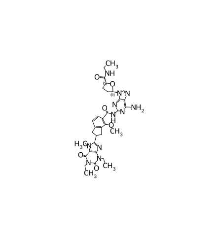 CCNC(=O)[C@@H]1CC[C@H](n2cnc3c(N)nc(NC(=O)c4ccc5c(c4OC)CC(c4nc6c(c(=O)n(CC)c(=O)n6CC)n4C)C5)nc32)O1